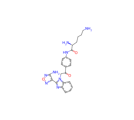 NCCCC[C@H](N)C(=O)Nc1ccc(C(=O)Cn2c(-c3nonc3N)nc3ccccc32)cc1